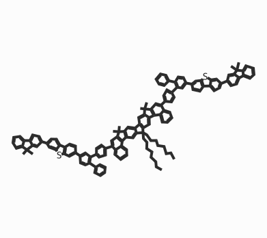 CCCCCCCCC1(CCCCCCCC)c2cc3c(cc2-c2cc4c(cc21)-c1c(cc(-c2ccc(-c5cc(-c6ccc7c(c6)sc6cc(-c8ccc9c(c8)C(C)(C)c8ccccc8-9)ccc67)ccc5-c5ccccc5)cc2)c2ccccc12)C4(C)C)C(C)(C)c1cc(-c2ccc(-c4cc(-c5ccc6c(c5)sc5cc(-c7ccc8c(c7)C(C)(C)c7ccccc7-8)ccc56)ccc4-c4ccccc4)cc2)c2ccccc2c1-3